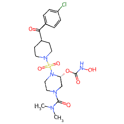 CN(C)C(=O)N1CCN(S(=O)(=O)N2CCC(C(=O)c3ccc(Cl)cc3)CC2)[C@H](OC(=O)NO)C1